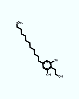 CCCCCCCCCCCCCCCCCCCCCc1cc(O)c(CCO)c(O)c1